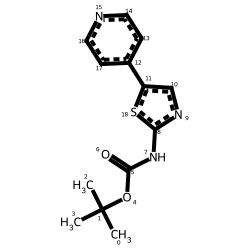 CC(C)(C)OC(=O)Nc1ncc(-c2ccncc2)s1